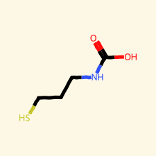 O=C(O)NCCCS